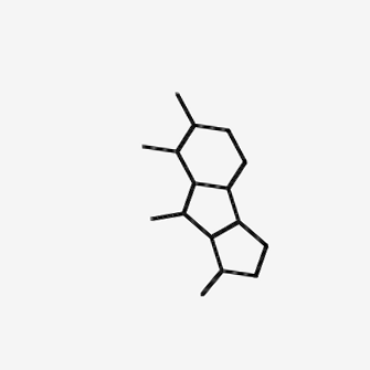 CC1CCC2C3CCC(C)C3C(C)C2C1C